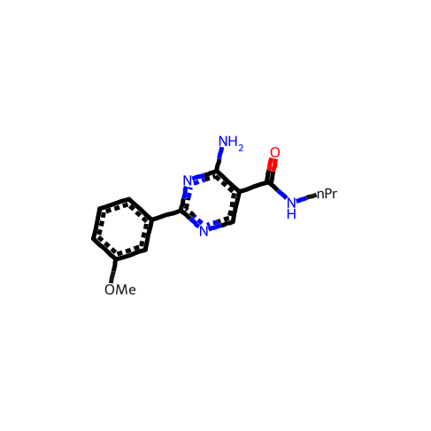 CCCNC(=O)c1cnc(-c2cccc(OC)c2)nc1N